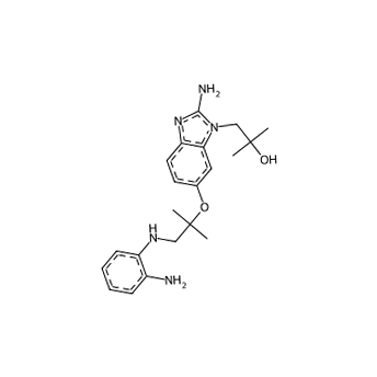 CC(C)(O)Cn1c(N)nc2ccc(OC(C)(C)CNc3ccccc3N)cc21